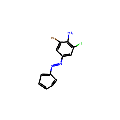 Nc1c(Cl)cc(N=Nc2ccccc2)cc1Br